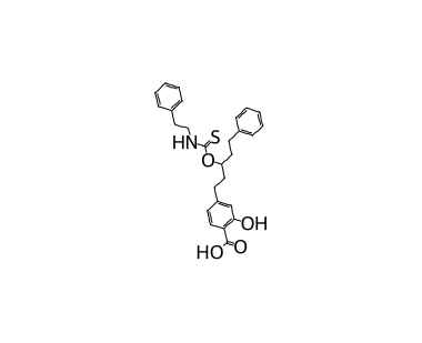 O=C(O)c1ccc(CCC(CCc2ccccc2)OC(=S)NCCc2ccccc2)cc1O